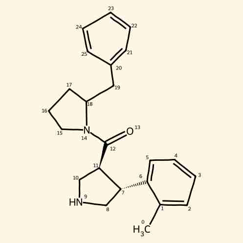 Cc1ccccc1[C@@H]1CNC[C@H]1C(=O)N1CCCC1Cc1ccccc1